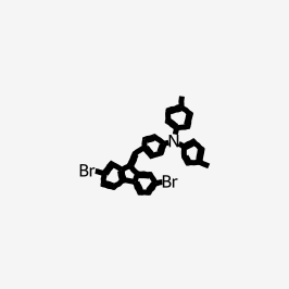 Cc1ccc(N(c2ccc(C)cc2)c2ccc(C=C3c4cc(Br)ccc4-c4ccc(Br)cc43)cc2)cc1